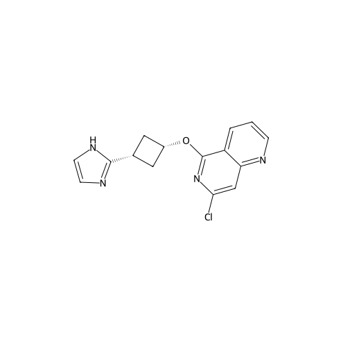 Clc1cc2ncccc2c(O[C@H]2C[C@@H](c3ncc[nH]3)C2)n1